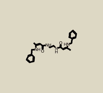 C/C(=C/C(=O)NCCNC(=O)/C=C(/C)NCc1ccccc1)NCc1ccccc1